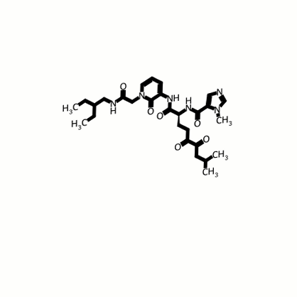 CCC(CC)CNC(=O)Cn1cccc(NC(=O)[C@H](CCC(=O)C(=O)CC(C)C)NC(=O)c2cncn2C)c1=O